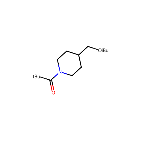 CC(C)COCC1CCN(C(=O)C(C)(C)C)CC1